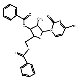 CC1C(OC(=O)c2ccccc2)C(COC(=O)c2ccccc2)OC1n1ccc(N)nc1=O